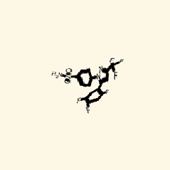 NS(=O)(=O)c1ccc(-n2nc(C(F)(F)F)cc2-c2cc(F)c(F)cc2F)cc1